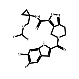 O=C(NC1(COC(F)F)CC1)c1onc2c1CN(C(=O)c1cc3cc(F)c(Cl)cc3[nH]1)CC2